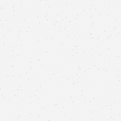 CC(C)Oc1cccc(-c2cc(C(N)=O)c3[nH]c4ccc(C(=O)N5CCOC(CO)C5)cc4c3c2)c1